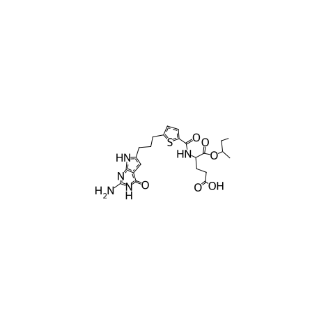 CCC(C)OC(=O)C(CCC(=O)O)NC(=O)c1ccc(CCCc2cc3c(=O)[nH]c(N)nc3[nH]2)s1